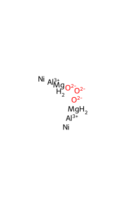 [Al+3].[Al+3].[MgH2].[MgH2].[Ni].[Ni].[O-2].[O-2].[O-2]